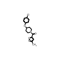 Cc1cc(C(=O)N2CCC(Oc3ccc(Cl)cc3)CC2)on1